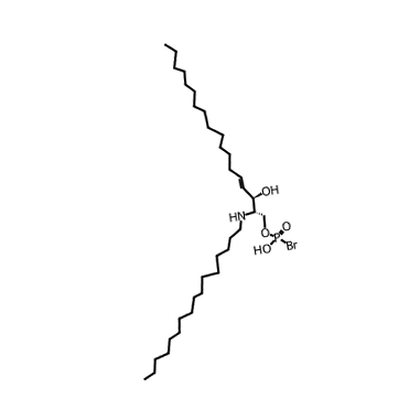 CCCCCCCCCCCCC/C=C/[C@@H](O)[C@H](COP(=O)(O)Br)NCCCCCCCCCCCCCCCC